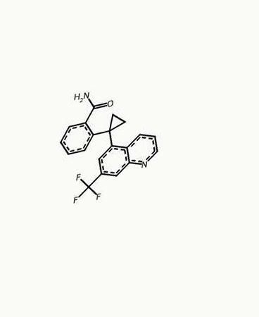 NC(=O)c1ccccc1C1(c2cc(C(F)(F)F)cc3ncccc23)CC1